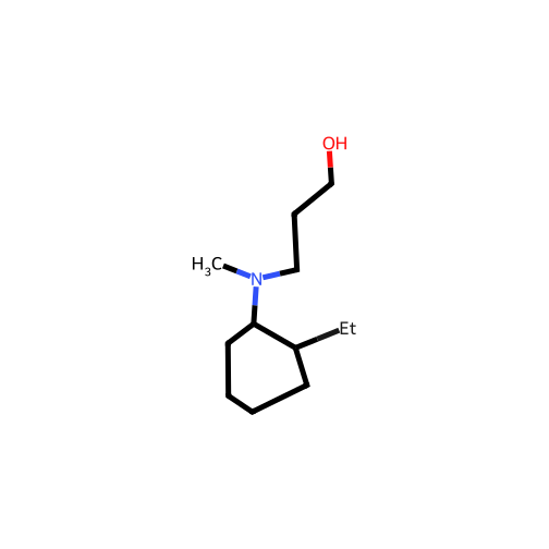 CCC1CCCCC1N(C)CCCO